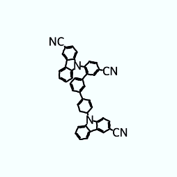 N#Cc1ccc(-n2c3ccccc3c3cc(C#N)ccc32)c(-c2cccc(C3=CCC(n4c5ccccc5c5cc(C#N)ccc54)C=C3)c2)c1